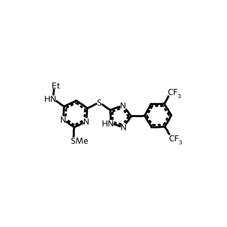 CCNc1cc(Sc2nc(-c3cc(C(F)(F)F)cc(C(F)(F)F)c3)n[nH]2)nc(SC)n1